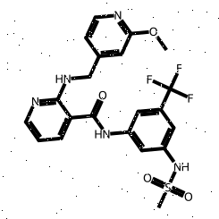 COc1cc(CNc2ncccc2C(=O)Nc2cc(NS(C)(=O)=O)cc(C(F)(F)F)c2)ccn1